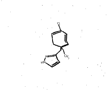 CC1(c2cc[nH]n2)C=CC(Cl)=CC1